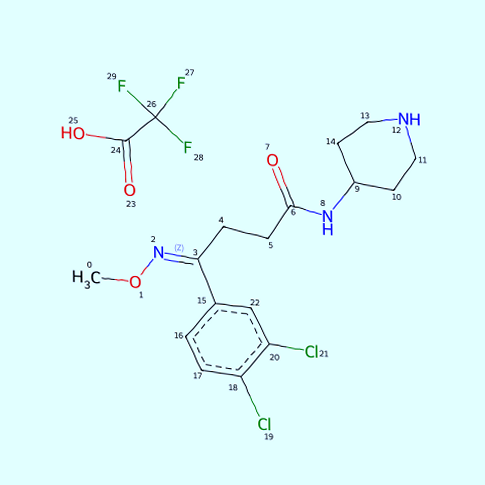 CO/N=C(/CCC(=O)NC1CCNCC1)c1ccc(Cl)c(Cl)c1.O=C(O)C(F)(F)F